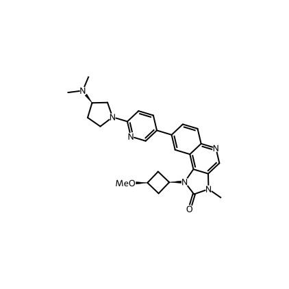 CO[C@H]1C[C@@H](n2c(=O)n(C)c3cnc4ccc(-c5ccc(N6CC[C@@H](N(C)C)C6)nc5)cc4c32)C1